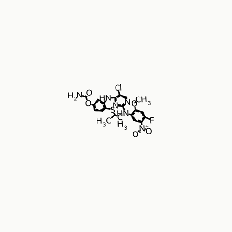 COc1cc(F)c([N+](=O)[O-])cc1Nc1ncc(Cl)c(Nc2cc(OC(N)=O)ccc2SC(C)C)n1